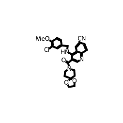 COc1ccc(CNc2c(C(=O)N3CCC4(CC3)OCCO4)cnc3ccc(C#N)cc23)cc1Cl